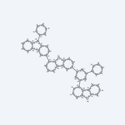 c1ccc(-c2nc(-c3ccc4oc5c(-c6ccc7c(c6)c6ccccc6n7-c6ccccc6)cccc5c4c3)nc(-c3cccc4oc5ccccc5c34)n2)cc1